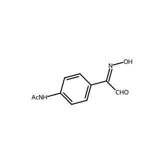 CC(=O)Nc1ccc(C(C=O)=NO)cc1